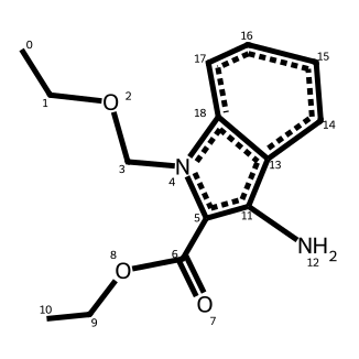 CCOCn1c(C(=O)OCC)c(N)c2ccccc21